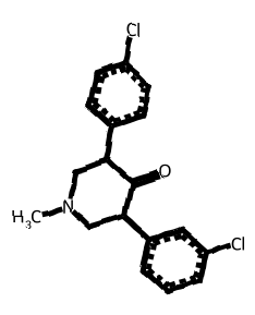 CN1CC(c2ccc(Cl)cc2)C(=O)C(c2cccc(Cl)c2)C1